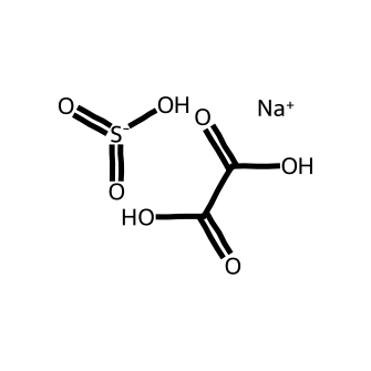 O=C(O)C(=O)O.O=[S-](=O)O.[Na+]